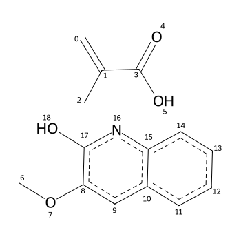 C=C(C)C(=O)O.COc1cc2ccccc2nc1O